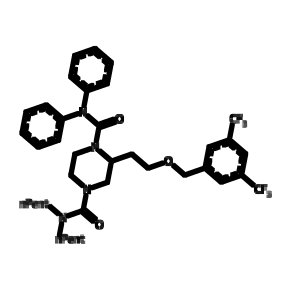 CCCCCN(CCCCC)C(=O)N1CCN(C(=O)N(c2ccccc2)c2ccccc2)C(CCOCc2cc(C(F)(F)F)cc(C(F)(F)F)c2)C1